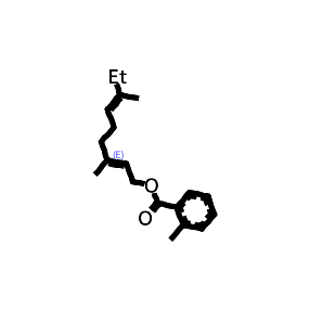 CCC(C)=CCC/C(C)=C/COC(=O)c1ccccc1C